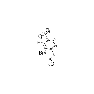 O=CCc1ccc2c(c1Br)COC2=O